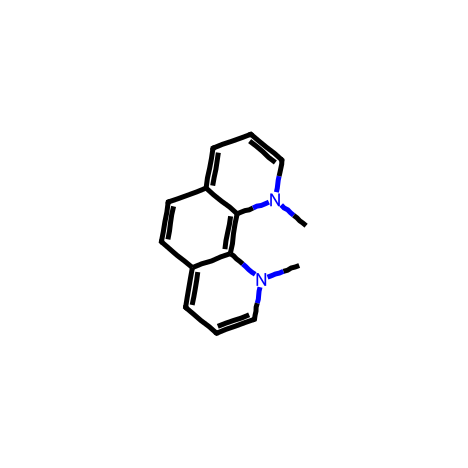 CN1C=CC=c2ccc3c(c21)N(C)C=CC=3